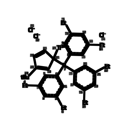 CCc1cc(CC)cc([Si](c2cc(CC)cc(CC)c2)(c2cc(CC)cc(CC)c2)[C]2([Ti+3])C=CC(C(C)(C)C)=C2)c1.[Cl-].[Cl-].[Cl-]